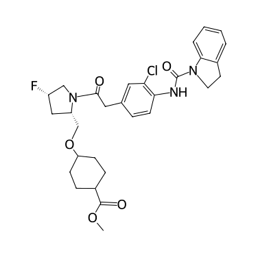 COC(=O)C1CCC(OC[C@@H]2C[C@H](F)CN2C(=O)Cc2ccc(NC(=O)N3CCc4ccccc43)c(Cl)c2)CC1